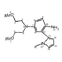 COCCN(CCOC)c1ccc(N)c(-c2cccn2C)c1